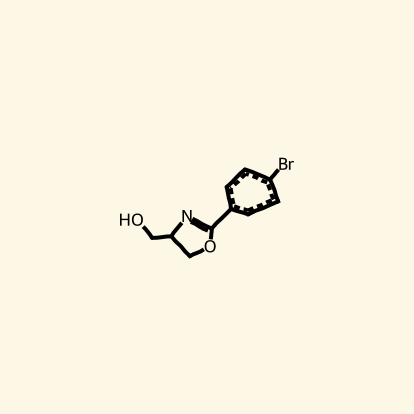 OCC1COC(c2ccc(Br)cc2)=N1